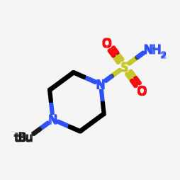 CC(C)(C)N1CCN(S(N)(=O)=O)CC1